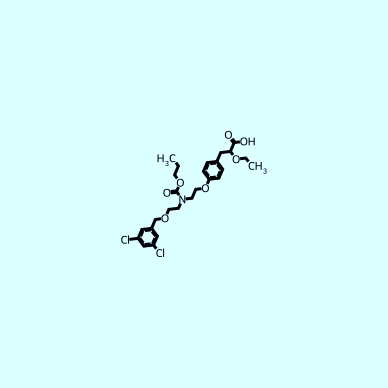 CCCOC(=O)N(CCOCc1cc(Cl)cc(Cl)c1)CCOc1ccc(CC(OCC)C(=O)O)cc1